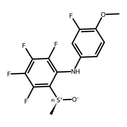 COc1ccc(Nc2c(F)c(F)c(F)c(F)c2[S@+](C)[O-])cc1F